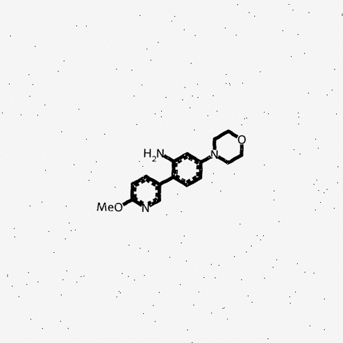 COc1ccc(-c2ccc(N3CCOCC3)cc2N)cn1